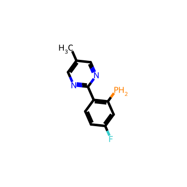 Cc1cnc(-c2ccc(F)cc2P)nc1